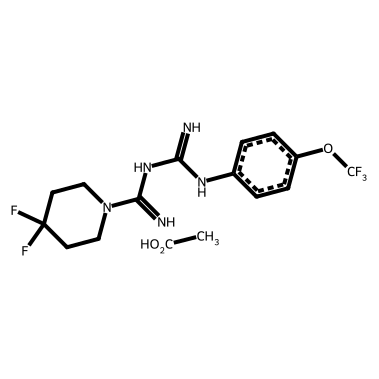 CC(=O)O.N=C(NC(=N)N1CCC(F)(F)CC1)Nc1ccc(OC(F)(F)F)cc1